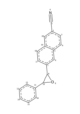 N#Cc1ccc2cc(C3OC3c3ccccc3)ccc2c1